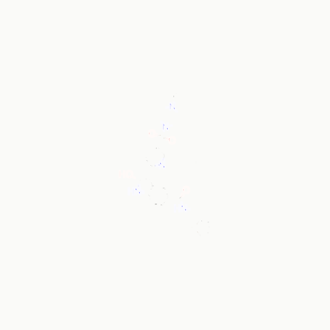 CN1CCN(S(=O)(=O)c2ccc(-c3c(O)[nH]c4ccc(C(=O)NCc5cccs5)cc34)nc2)CC1.Cl